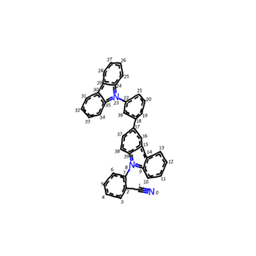 N#Cc1ccccc1-n1c2ccccc2c2cc(-c3cccc(-n4c5ccccc5c5ccccc54)c3)ccc21